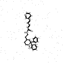 CN1CCC(CCNC(=O)C=CC=Cc2cccnc2)CC1(c1ccccc1)c1ccccc1